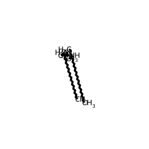 CCCCCCCCCCCCCCCCCCCCCC(=O)NC(CC)N(C)C.CCCCCCCCCCCCCCCCCCCCCC(=O)O